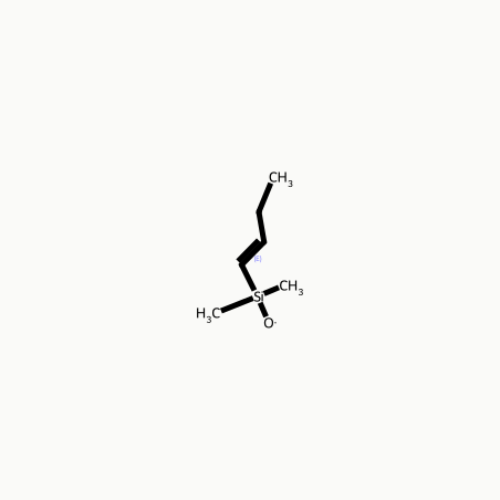 CC/C=C/[Si](C)(C)[O]